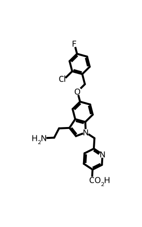 NCCc1cn(Cc2ccc(C(=O)O)cn2)c2ccc(OCc3ccc(F)cc3Cl)cc12